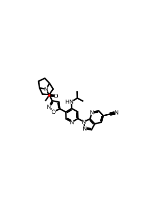 CC(=O)N1C2CCC1CC(c1cc(-c3cnc(-n4ncc5cc(C#N)cnc54)cc3NC(C)C)on1)C2